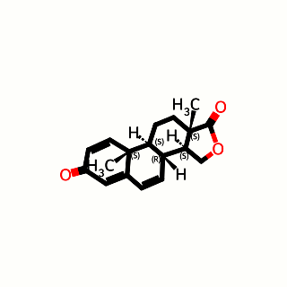 C[C@]12C=CC(=O)C=C1C=C[C@@H]1[C@@H]2CC[C@]2(C)C(=O)OC[C@@H]12